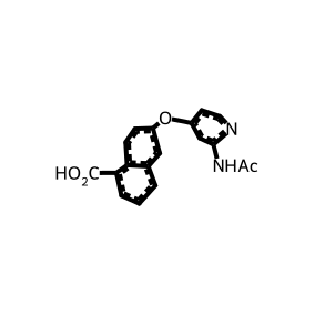 CC(=O)Nc1cc(Oc2ccc3c(C(=O)O)cccc3c2)ccn1